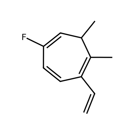 C=CC1=C(C)C(C)C=C(F)C=C1